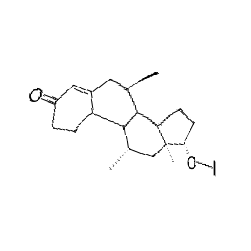 C[C@@H]1CC2=CC(=O)CCC2C2C1C1CC[C@H](OI)[C@@]1(C)C[C@@H]2C